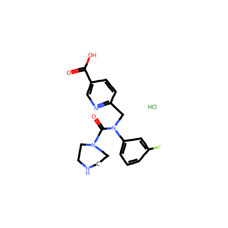 Cl.O=C(O)c1ccc(CN(C(=O)N2CCNCC2)c2cccc(F)c2)nc1